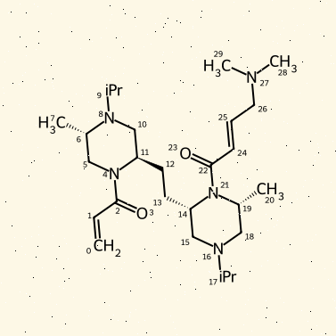 C=CC(=O)N1C[C@H](C)N(C(C)C)C[C@H]1CC[C@H]1CN(C(C)C)C[C@@H](C)N1C(=O)/C=C/CN(C)C